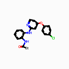 CCC(=O)Nc1ccccc1Nc1cc(Oc2ccc(Cl)cc2)ccn1